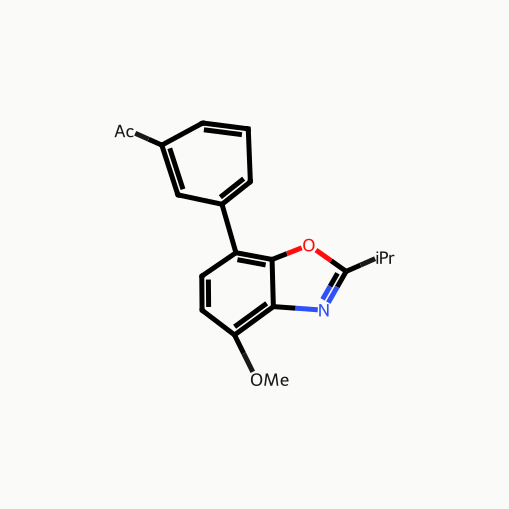 COc1ccc(-c2cccc(C(C)=O)c2)c2oc(C(C)C)nc12